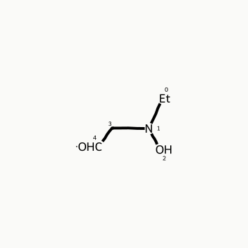 CCN(O)C[C]=O